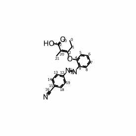 CC/C(Oc1ccccc1/N=N/c1ccc(C#N)cc1)=C(/C)C(=O)O